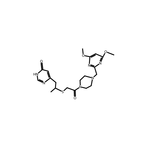 COc1cc(OC)nc(CN2CCN(C(=O)CSC(C)Cc3cc(=O)[nH]cn3)CC2)n1